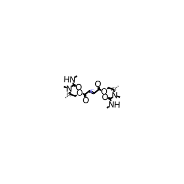 CNC(=O)N(C)[C@@H](C)COC(=O)/C=C/C(=O)OC[C@H](C)N(C)C(=O)NC